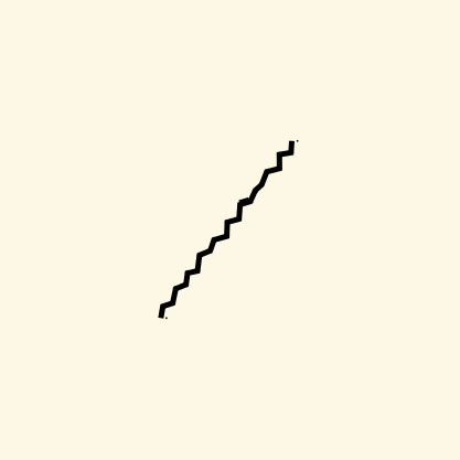 [CH2]CCCCCC/C=C/CCCCCCCCCCCC[CH2]